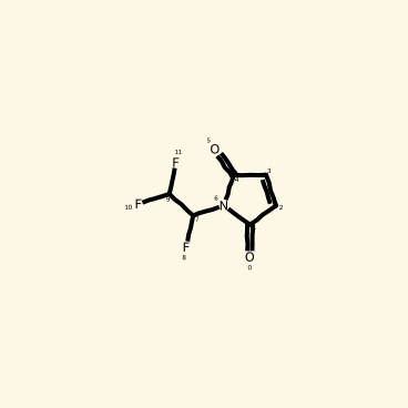 O=C1C=CC(=O)N1C(F)C(F)F